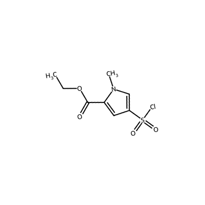 CCOC(=O)c1cc(S(=O)(=O)Cl)cn1C